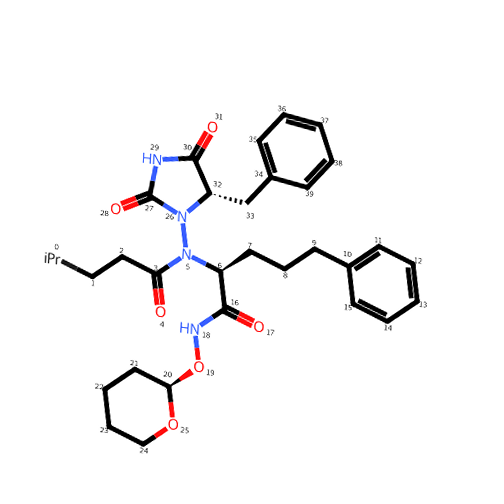 CC(C)CCC(=O)N([C@@H](CCCc1ccccc1)C(=O)NO[C@@H]1CCCCO1)N1C(=O)NC(=O)[C@@H]1Cc1ccccc1